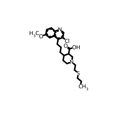 CCCSCCN1CCC(CCCc2c(Cl)cnc3ccc(OC)cc23)C(C(=O)O)C1